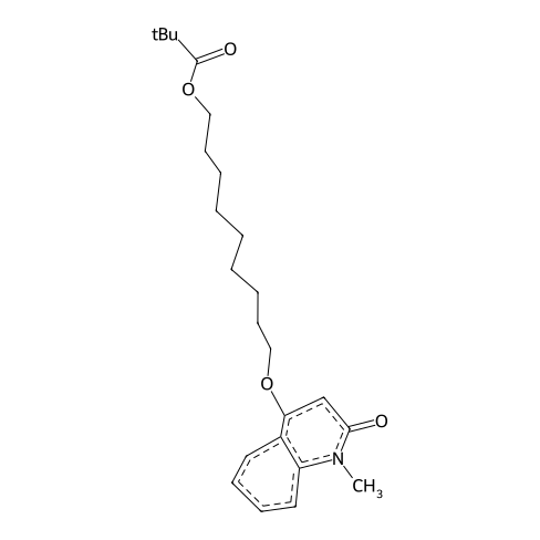 Cn1c(=O)cc(OCCCCCCCCCOC(=O)C(C)(C)C)c2ccccc21